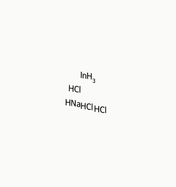 Cl.Cl.Cl.[InH3].[NaH]